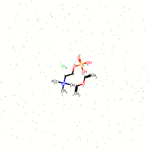 C=COC=C.C[N+](C)(C)CCOP(=O)(O)O.[Cl-]